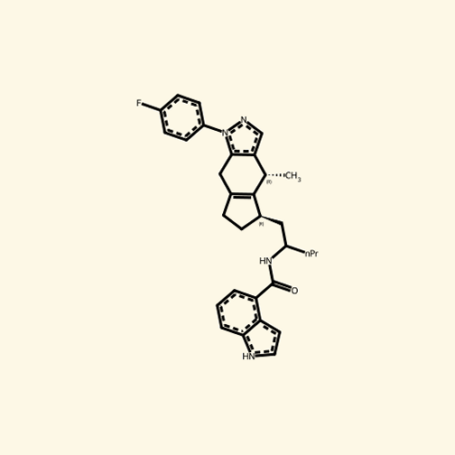 CCCC(C[C@H]1CCC2=C1[C@@H](C)c1cnn(-c3ccc(F)cc3)c1C2)NC(=O)c1cccc2[nH]ccc12